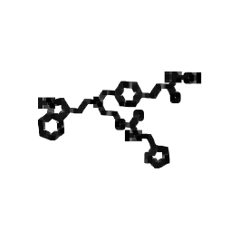 O=C(/C=C/c1ccc(CN(CCOC(=O)NCc2cccs2)CCc2c[nH]c3ccccc23)cc1)NO